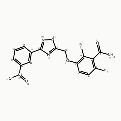 NC(=O)c1c(F)ccc(OCc2nc(-c3cccc([N+](=O)[O-])c3)no2)c1F